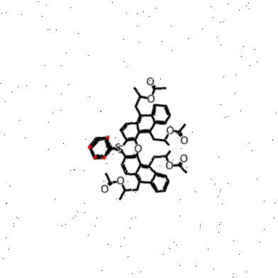 CC(=O)OC(C)Cc1c2ccccc2c(CC(C)OC(C)=O)c2c(Oc3c(Sc4ccccc4)ccc4c(CC(C)OC(C)=O)c5ccccc5c(CC(C)OC(C)=O)c34)c(Sc3ccccc3)ccc12